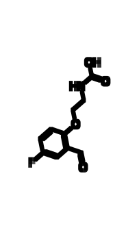 O=Cc1cc(F)ccc1OCCNC(=O)O